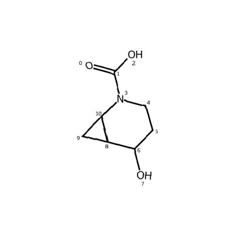 O=C(O)N1CCC(O)C2CC21